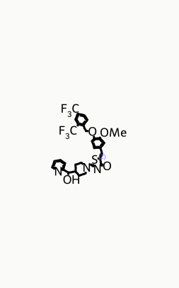 COc1cc(/C=C2\SC(N3CCC(C(O)c4ccccn4)CC3)=NC2=O)ccc1OCc1ccc(C(F)(F)F)cc1C(F)(F)F